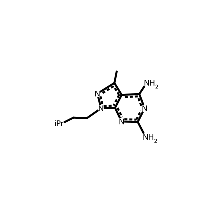 Cc1nn(CCC(C)C)c2nc(N)nc(N)c12